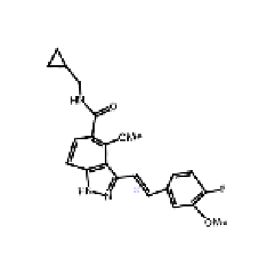 COc1cc(/C=C/c2n[nH]c3ccc(C(=O)NCC4CC4)c(OC)c23)ccc1F